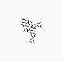 c1ccc(-c2ccc3cc(-c4nc(-c5ccccc5)nc(-c5cccc(-c6c(-c7cccc8ccccc78)ccc7ccccc67)c5)n4)ccc3c2)cc1